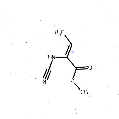 C/C=C(\NC#N)C(=O)OC